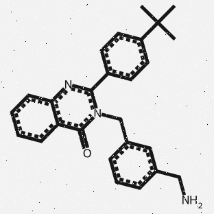 CC(C)(C)c1ccc(-c2nc3ccccc3c(=O)n2Cc2cccc(CN)c2)cc1